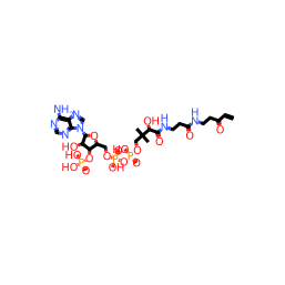 C=CC(=O)CCNC(=O)CCNC(=O)C(O)C(C)(C)COP(=O)(O)OP(=O)(O)OCC1OC(n2cnc3c(N)ncnc32)C(O)C1OP(=O)(O)O